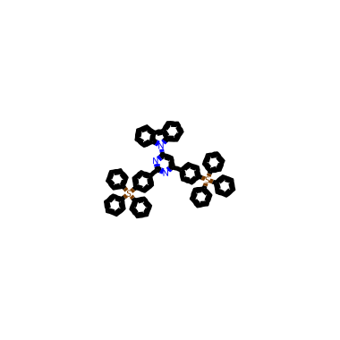 c1ccc(S(c2ccccc2)(c2ccccc2)c2ccc(-c3cc(-n4c5ccccc5c5ccccc54)nc(-c4ccc(S(c5ccccc5)(c5ccccc5)c5ccccc5)cc4)n3)cc2)cc1